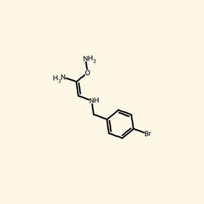 NO/C(N)=C\NCc1ccc(Br)cc1